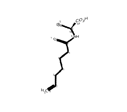 C=CCCCCC(=O)N[C@H](C(=O)O)C(C)(C)C